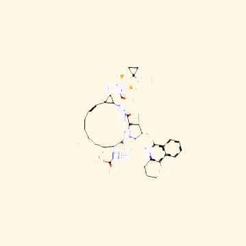 C[C@@H]1CC/C=C\[C@@H]2C[C@@]2(C(=O)NS(=O)(=O)C2(C)CC2)NC(=O)[C@@H]2C[C@@H](Oc3nc4c(c5ccccc35)OCCC4)CN2C(=O)[C@@H](NC(=O)O)[C@H](C)C1